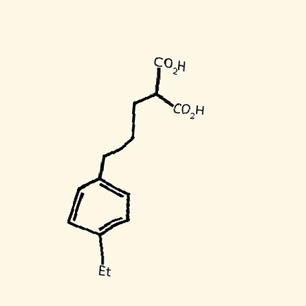 CCc1ccc(CCCC(C(=O)O)C(=O)O)cc1